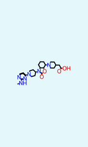 CNc1nccc(N2CCC(N3C(=O)OC4C(N5CCC(CC(=O)O)CC5)CCCC43)CC2)n1